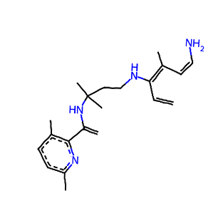 C=C/C(NCCC(C)(C)NC(=C)c1nc(C)ccc1C)=C(C)\C=C/N